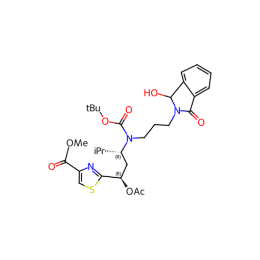 COC(=O)c1csc([C@@H](C[C@H](C(C)C)N(CCCN2C(=O)c3ccccc3C2O)C(=O)OC(C)(C)C)OC(C)=O)n1